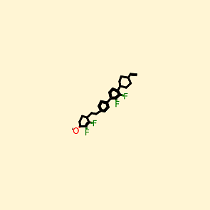 C=CC1CCC(c2ccc(-c3ccc(CCC4CCC(OC)C(F)=C4F)cc3)c(F)c2F)CC1